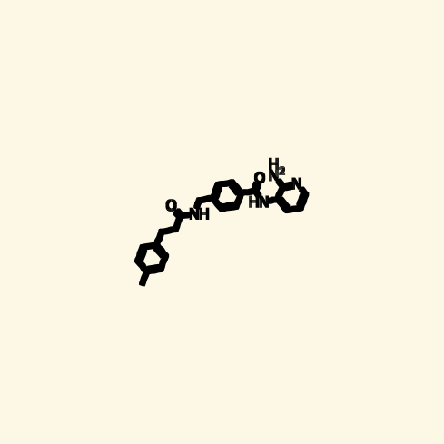 Cc1ccc(CCC(=O)NCc2ccc(C(=O)Nc3cccnc3N)cc2)cc1